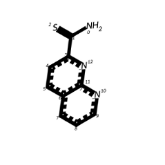 NC(=S)c1ccc2cccnc2n1